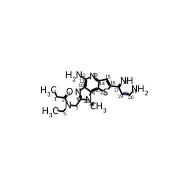 CCC(=O)N(CC)Cc1nc2c(N)nc3cc(C(=N)/C=C\N)sc3c2n1C